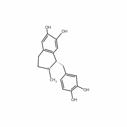 CN1CCc2cc(O)c(O)cc2[C@@H]1Cc1ccc(O)c(O)c1